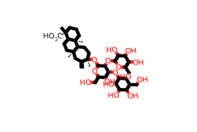 C=C1C[C@@]2(C)CCC3[C@@](C)(CCC[C@@]3(C)C(=O)O)C2CC[C@@]1(C)OC1OC(CO)C(O)C(OC2CC(CO)C(O)C(O)C2O)C1OC1OC(CO)C(O)C(O)C1O